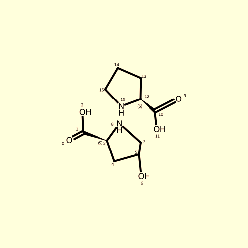 O=C(O)[C@@H]1CC(O)CN1.O=C(O)[C@@H]1CCCN1